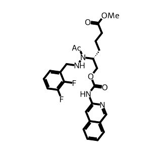 COC(=O)CCC[C@H](COC(=O)Nc1cc2ccccc2cn1)N(NCc1cccc(F)c1F)C(C)=O